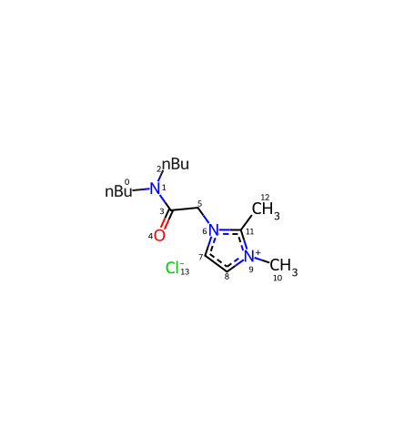 CCCCN(CCCC)C(=O)Cn1cc[n+](C)c1C.[Cl-]